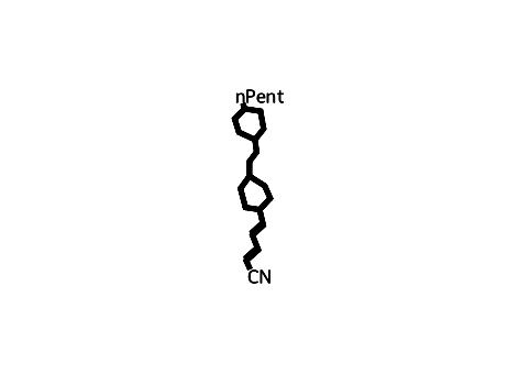 CCCCCC1CCC(CCC2CCC(C=CC=CC#N)CC2)CC1